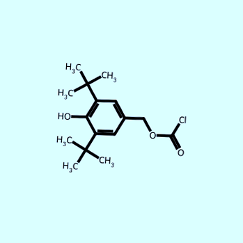 CC(C)(C)c1cc(COC(=O)Cl)cc(C(C)(C)C)c1O